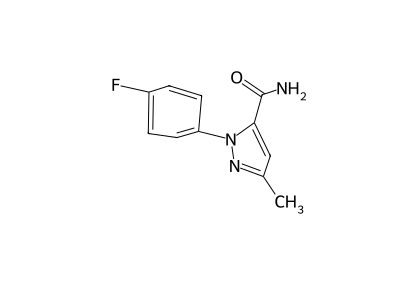 Cc1cc(C(N)=O)n(-c2ccc(F)cc2)n1